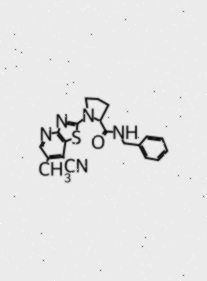 Cc1cnc2nc(N3CCCC3C(=O)NCc3ccccc3)sc2c1C#N